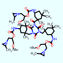 CCCCOCC(CN1CC1C)OC(=O)NC1CC(C)(C)CC(C)(Cn2c(=O)n(CC3(C)CC(NC(=O)OC(COCCCC)CN4CC4C)CC(C)(C)C3)c(=O)n(C(=O)C3(C)CC(NC(=O)OC(COCCCC)CN4CC4C)CC(C)(C)C3)c2=O)C1